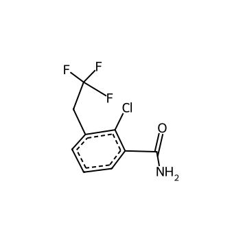 NC(=O)c1cccc(CC(F)(F)F)c1Cl